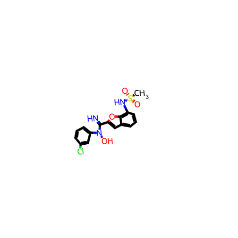 CS(=O)(=O)Nc1cccc2cc(C(=N)N(O)c3cccc(Cl)c3)oc12